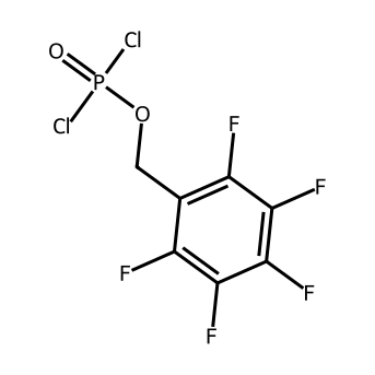 O=P(Cl)(Cl)OCc1c(F)c(F)c(F)c(F)c1F